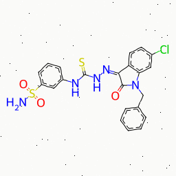 NS(=O)(=O)c1cccc(NC(=S)NN=C2C(=O)N(Cc3ccccc3)c3cc(Cl)ccc32)c1